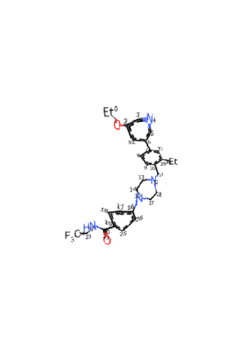 CCOc1cncc(-c2ccc(CN3CCN(c4ccc(C(=O)NCC(F)(F)F)cc4)CC3)c(CC)c2)c1